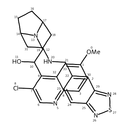 COc1ccc2ncc(Cl)c(C(O)CN3C4CCC3CC(NCc3ccc5nsnc5c3)C4)c2c1